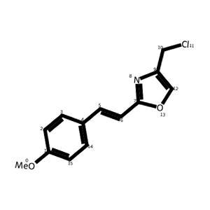 COc1ccc(/C=C/c2nc(CCl)co2)cc1